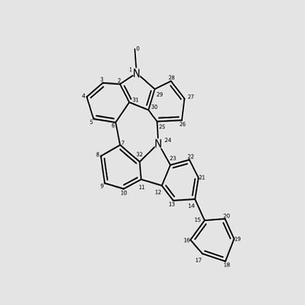 Cn1c2cccc3c4cccc5c6cc(-c7ccccc7)ccc6n(c6cccc1c6c32)c45